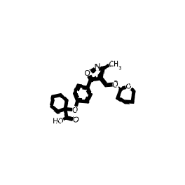 Cc1noc(-c2ccc(OC3(C(=O)O)CCCCC3)cc2)c1CO[C@H]1CCCCO1